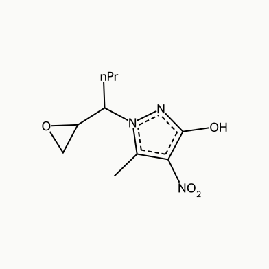 CCCC(C1CO1)n1nc(O)c([N+](=O)[O-])c1C